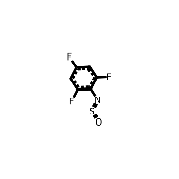 O=S=Nc1c(F)cc(F)cc1F